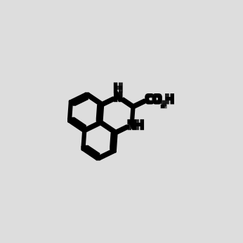 O=C(O)C1Nc2cccc3cccc(c23)N1